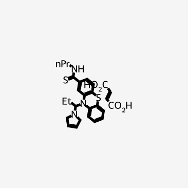 CCCNC(=S)c1ccc2c(c1)N(C(CC)N1CC=CC1)c1ccccc1S2.O=C(O)C=CC(=O)O